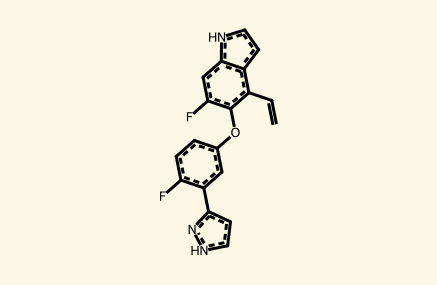 C=Cc1c(Oc2ccc(F)c(-c3cc[nH]n3)c2)c(F)cc2[nH]ccc12